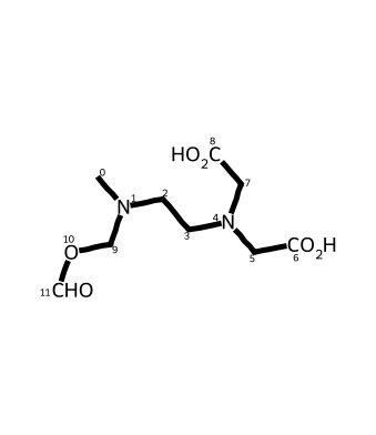 CN(CCN(CC(=O)O)CC(=O)O)COC=O